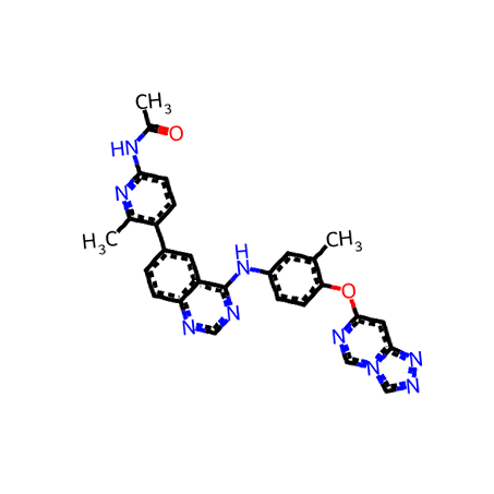 CC(=O)Nc1ccc(-c2ccc3ncnc(Nc4ccc(Oc5cc6nncn6cn5)c(C)c4)c3c2)c(C)n1